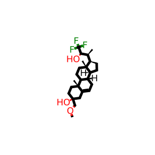 COC[C@]1(O)CC[C@@]2(C)C(=CC[C@@H]3C2CC[C@]2(C)[C@@H]([C@H](C)[C@@H](O)C(F)(F)F)CC[C@@H]32)C1